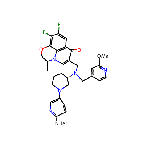 COc1cc(CN(Cc2cn3c4c(c(F)c(F)cc4c2=O)OCC3C)[C@H]2CCCN(c3ccc(NC(C)=O)nc3)C2)ccn1